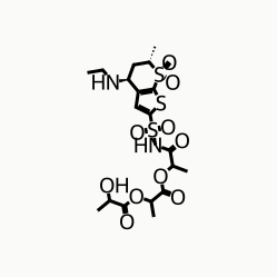 CCN[C@H]1C[C@H](C)S(=O)(=O)c2sc(S(=O)(=O)NC(=O)C(C)OC(=O)C(C)OC(=O)C(C)O)cc21